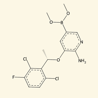 COB(OC)c1cnc(N)c(O[C@@H](C)c2c(Cl)ccc(F)c2Cl)c1